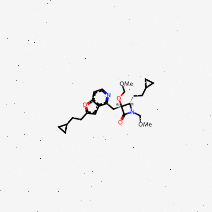 COCO[C@@]1(Cc2nccc3oc(CCC4CC4)cc23)C(=O)N(COC)[C@H]1CCC1CC1